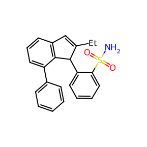 CCC1=Cc2cccc(-c3ccccc3)c2C1c1ccccc1S(N)(=O)=O